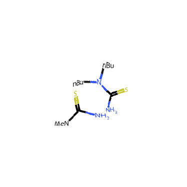 CCCCN(CCCC)C(N)=S.CNC(N)=S